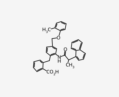 Cc1ccccc1OCc1ccc(Cc2ccccc2C(=O)O)c(NC(=O)C(C)c2cccc3ccccc23)c1